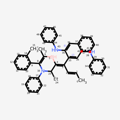 CC=CC(=C1BC(C)=C(c2ccccc2C)N(c2ccccc2)C1CC)C(=C/CNc1ccccc1)/C(=C\c1ccccc1)Nc1ccccc1